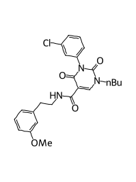 CCCCn1cc(C(=O)NCCc2cccc(OC)c2)c(=O)n(-c2cccc(Cl)c2)c1=O